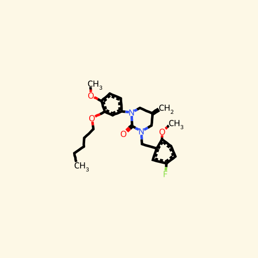 C=C1CN(Cc2cc(F)ccc2OC)C(=O)N(c2ccc(OC)c(OCCCCC)c2)C1